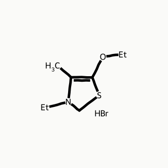 Br.CCOC1=C(C)N(CC)CS1